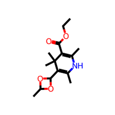 CCOC(=O)C1=C(C)NC(C)=C(C2OC(C)O2)C1(C)C